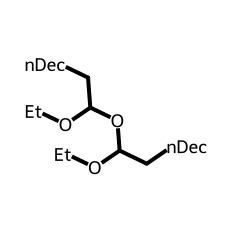 CCCCCCCCCCCC(OCC)OC(CCCCCCCCCCC)OCC